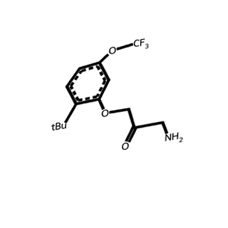 CC(C)(C)c1ccc(OC(F)(F)F)cc1OCC(=O)CN